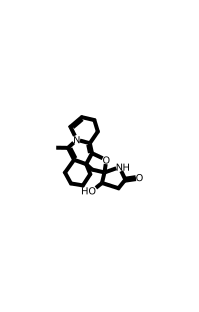 CC1=C2CCCCC23CC2(NC(=O)CC2O)OC3=C2CCC=CN12